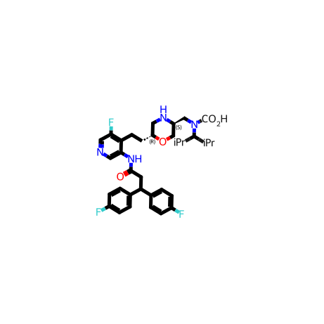 CC(C)C(C(C)C)N(C[C@H]1CO[C@H](CCc2c(F)cncc2NC(=O)CC(c2ccc(F)cc2)c2ccc(F)cc2)CN1)C(=O)O